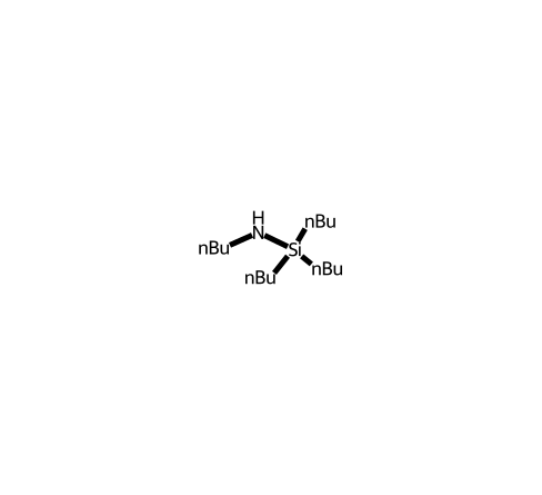 CCCCN[Si](CCCC)(CCCC)CCCC